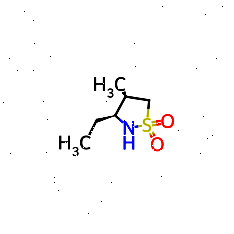 CC[C@@H]1NS(=O)(=O)C[C@@H]1C